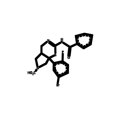 O=C(NC1=NCC2CN(C(=O)O)CC2(c2cc(Br)ccc2F)S1)c1ccccc1